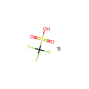 O=S(=O)(O)C(F)(F)F.[Tl]